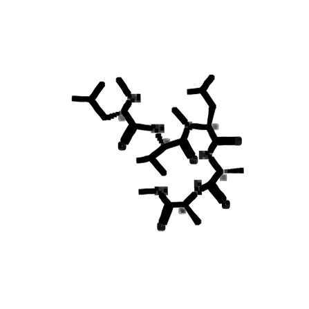 CNC(=O)[C@H](C)NC(=O)[C@@H](C)NC(=O)[C@H](CC(C)C)N(C)C(=O)[C@@H](NC(=O)[C@H](CC(C)C)NC)C(C)C